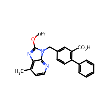 CCCOc1nc2c(C)ccnc2n1Cc1ccc(-c2ccccc2)c(C(=O)O)c1